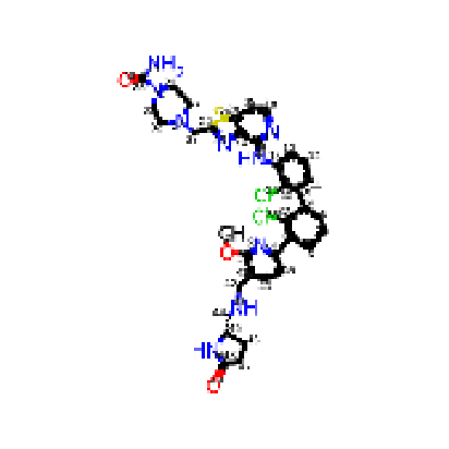 COc1nc(-c2cccc(-c3cccc(Nc4nccc5sc(CN6CCN(C(N)=O)CC6)nc45)c3Cl)c2Cl)ccc1CNC[C@@H]1CCC(=O)N1